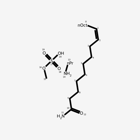 CCCCCCCC/C=C\CCCCCCCC(N)=O.CCCN.COS(=O)(=O)O